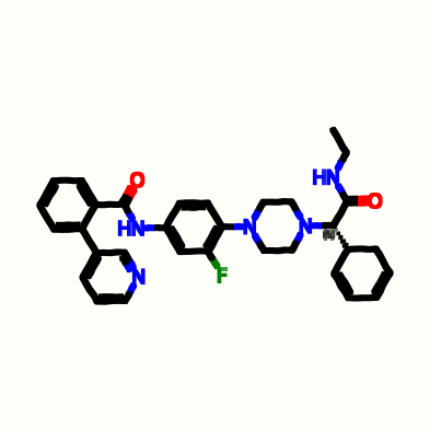 CCNC(=O)[C@H](C1C=CC=CC1)N1CCN(c2ccc(NC(=O)c3ccccc3-c3cccnc3)cc2F)CC1